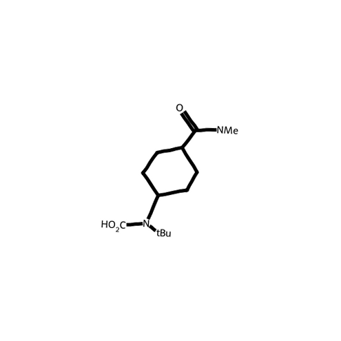 CNC(=O)C1CCC(N(C(=O)O)C(C)(C)C)CC1